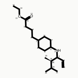 C=CC(NC1CCC(CCCC(=O)OCC)CC1)[C@H](C)C(C)C